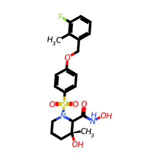 Cc1c(F)cccc1COc1ccc(S(=O)(=O)N2CCC[C@@](C)(O)C2C(=O)NO)cc1